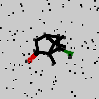 CC1(C)C2CC(=O)C1(C)C(Br)C2